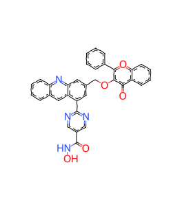 O=C(NO)c1cnc(-c2cc(COc3c(-c4ccccc4)oc4ccccc4c3=O)cc3nc4ccccc4cc23)nc1